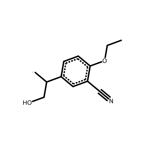 [CH2]C(CO)c1ccc(OCC)c(C#N)c1